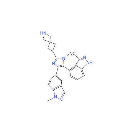 Cn1c(C2CC3(CNC3)C2)nc(-c2ccc3c(cnn3C)c2)c1-c1cccc2[nH]nc(C#N)c12